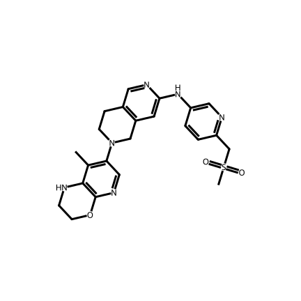 Cc1c(N2CCc3cnc(Nc4ccc(CS(C)(=O)=O)nc4)cc3C2)cnc2c1NCCO2